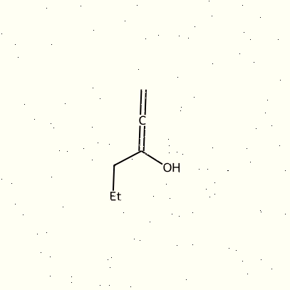 C=C=C(O)CCC